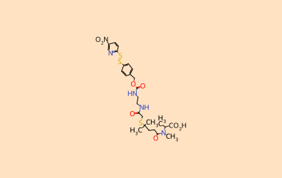 CC(C(=O)O)N(C)C(=O)CCC(C)(C)SCC(=O)NCCNC(=O)OCc1ccc(SSc2ccc([N+](=O)[O-])cn2)cc1